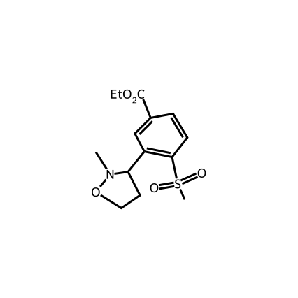 CCOC(=O)c1ccc(S(C)(=O)=O)c(C2CCON2C)c1